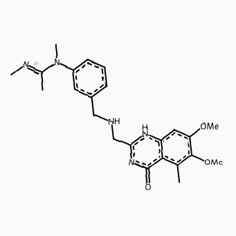 C/N=C(\C)N(C)c1cccc(CNCc2nc(=O)c3c(C)c(OC)c(OC)cc3[nH]2)c1